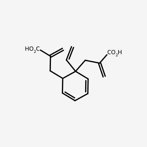 C=CC1(CC(=C)C(=O)O)C=CC=CC1CC(=C)C(=O)O